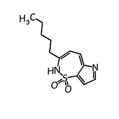 CCCCCC1=CC=C2N=CC=C2S(=O)(=O)N1